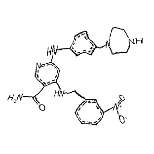 NC(=O)c1cnc(Nc2ccc(N3CCNCC3)cc2)cc1NCc1cccc([N+](=O)[O-])c1